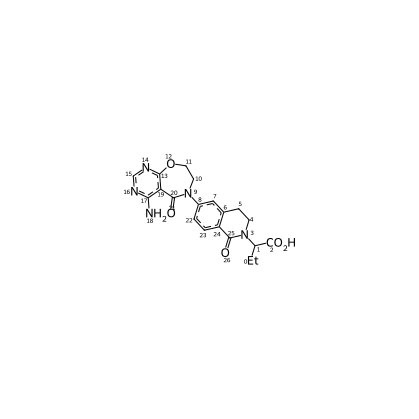 CCC(C(=O)O)N1CCc2cc(N3CCOc4ncnc(N)c4C3=O)ccc2C1=O